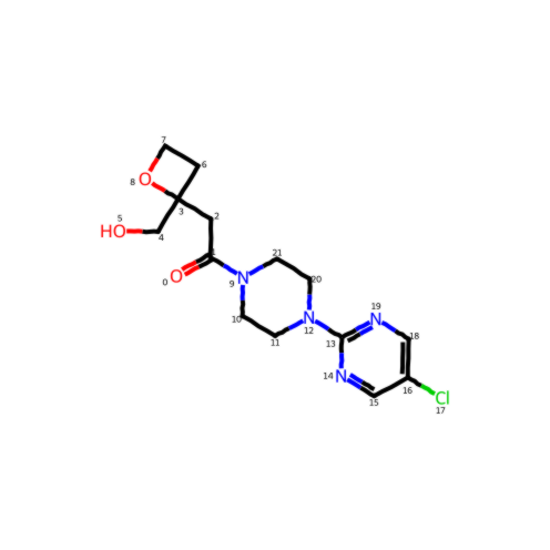 O=C(CC1(CO)CCO1)N1CCN(c2ncc(Cl)cn2)CC1